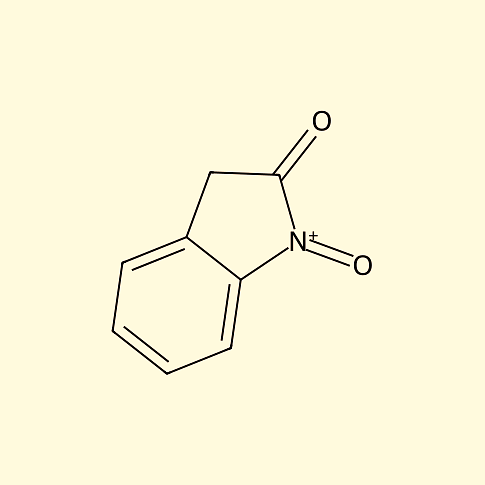 O=C1Cc2ccccc2[N+]1=O